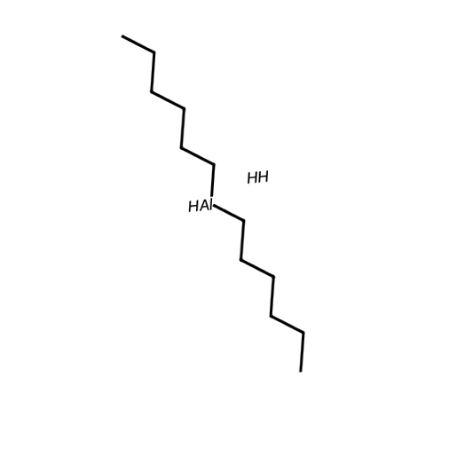 CCCCC[CH2][AlH][CH2]CCCCC.[HH]